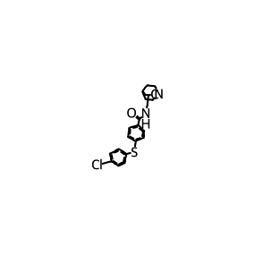 O=C(NC1CC2CCN(CC2)C1)c1ccc(Sc2ccc(Cl)cc2)cc1